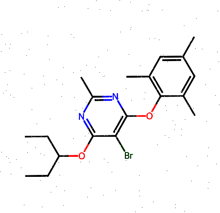 CCC(CC)Oc1nc(C)nc(Oc2c(C)cc(C)cc2C)c1Br